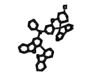 Clc1ccc2c(c1)Oc1cc(N(c3ccccc3)c3cc(-c4cccc5c4sc4ccccc45)c4oc5ccccc5c4c3)ccc1C21c2ccccc2-c2ccccc21